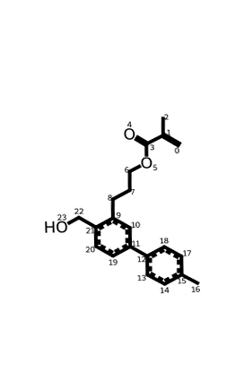 C=C(C)C(=O)OCCCc1cc(-c2ccc(C)cc2)ccc1CO